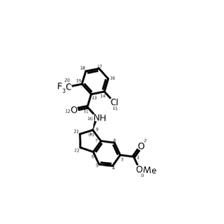 COC(=O)c1ccc2c(c1)[C@H](NC(=O)c1c(Cl)cccc1C(F)(F)F)CC2